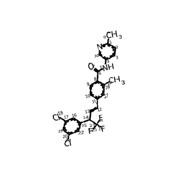 Cc1ccc(NC(=O)c2ccc(/C=C/C(c3cc(Cl)cc(Cl)c3)C(F)(F)F)cc2C)cn1